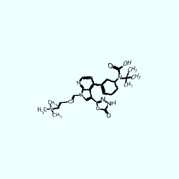 CC(C)(C)N(C(=O)O)C1CCC=C(c2ccnc3c2c(-c2n[nH]c(=O)o2)cn3COCC[Si](C)(C)C)C1